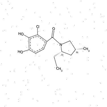 CC[C@H]1C[C@@H](C)CN1C(=O)c1ccc(O)c(O)c1Cl